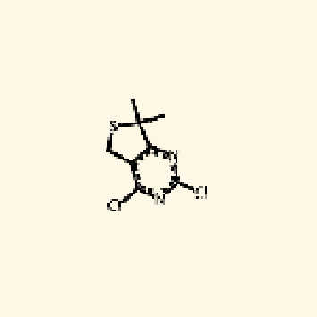 CC1(C)SCc2c(Cl)nc(Cl)nc21